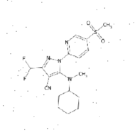 CN(c1c(C#N)c(C(F)F)nn1-c1ccc(S(C)(=O)=O)cn1)C1CCCCC1